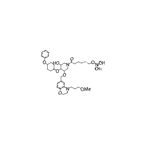 COCCCN1CCOc2ccc(COC3CN(C(=O)CCCCCON(O)O)CC(O)C3OC3CCC(Oc4ccccc4)CC3)cc21